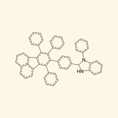 c1ccc(-c2c(-c3ccc(C4Nc5ccccc5N4c4ccccc4)cc3)c(-c3ccccc3)c3c(c2-c2ccccc2)-c2cccc4cccc-3c24)cc1